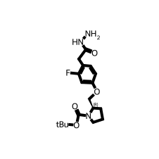 CC(C)(C)OC(=O)N1CCC[C@@H]1COc1ccc(CC(=O)NN)c(F)c1